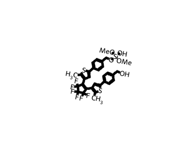 CO[Si](O)(OC)OCc1ccc(-c2cc(C3=C(c4cc(-c5ccc(CO)cc5)sc4C)C(F)(F)C(F)(F)C3(F)F)c(C)s2)cc1